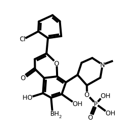 Bc1c(O)c(C2CCN(C)CC2OP(=O)(O)O)c2oc(-c3ccccc3Cl)cc(=O)c2c1O